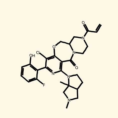 C=CC(=O)N1CCN2C(=O)c3c(N4CCC5CN(C)CC54C)nc(-c4c(O)cccc4F)c(Cl)c3OCC2C1